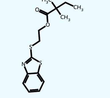 CCC(C)(C)C(=O)OCCSc1nc2ccccc2s1